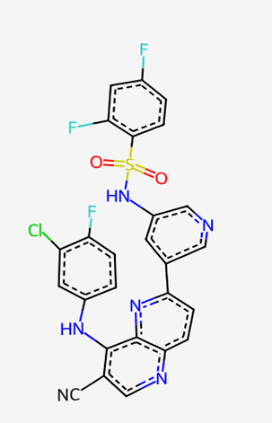 N#Cc1cnc2ccc(-c3cncc(NS(=O)(=O)c4ccc(F)cc4F)c3)nc2c1Nc1ccc(F)c(Cl)c1